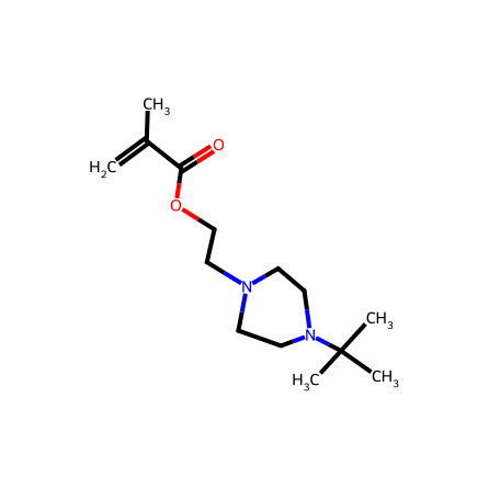 C=C(C)C(=O)OCCN1CCN(C(C)(C)C)CC1